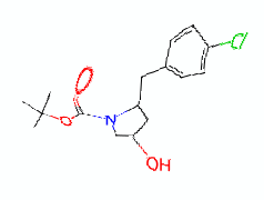 CC(C)(C)OC(=O)N1CC(O)CC1Cc1ccc(Cl)cc1